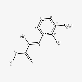 CC(C)OC(=O)/C(C#N)=C/c1cccc(C(=O)O)c1O